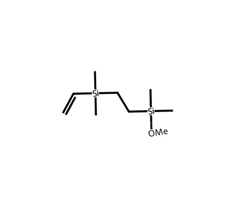 C=C[Si](C)(C)CC[Si](C)(C)OC